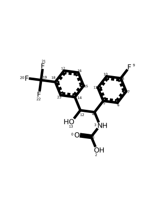 O=C(O)NC(c1ccc(F)cc1)C(O)c1cccc(C(F)(F)F)c1